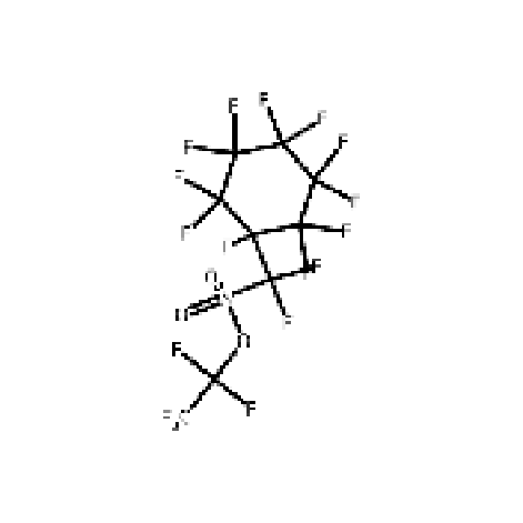 O=S(=O)(OC(F)(F)C(F)(F)F)C(F)(F)C1(F)C(F)(F)C(F)(F)C(F)(F)C(F)(F)C1(F)F